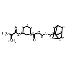 C=C(C)C(=O)OC1CCCC(C(=O)OCOCC23CC4CC(CC(C4)C2)C3)C1